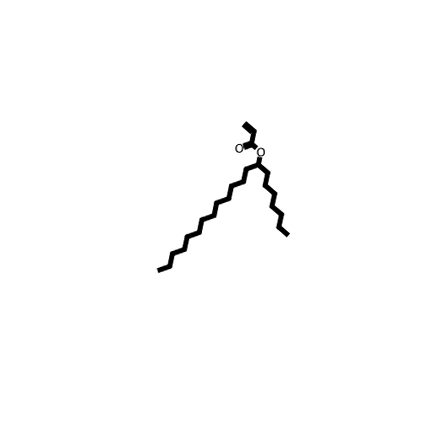 C=CC(=O)OC(CCCCCCC)CCCCCCCCCCCCC